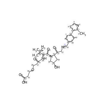 Cc1ncsc1-c1ccc(/C=N/CC(=O)C2CC(O)CN2C(=O)[C@@H](NC(=O)CCOCCC(=O)O)C(C)(C)C)cc1